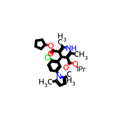 CC1=C(C(=O)OC(C)C)C(c2cc(-n3c(C)ccc3C)ccc2Cl)C(C(=O)OC2CCCC2)=C(C)N1